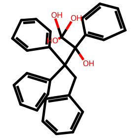 OC(O)(O)C(O)(c1ccccc1)C(Cc1ccccc1)(c1ccccc1)c1ccccc1